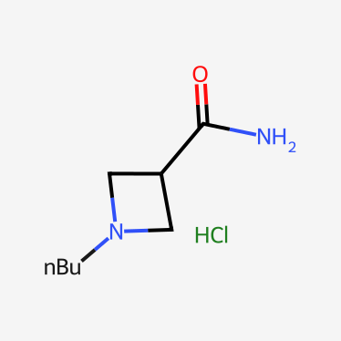 CCCCN1CC(C(N)=O)C1.Cl